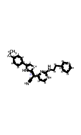 COc1ccc(C2=CS/C(=C(/C#N)c3ccnc(NCCc4cccnc4)n3)N2)cc1